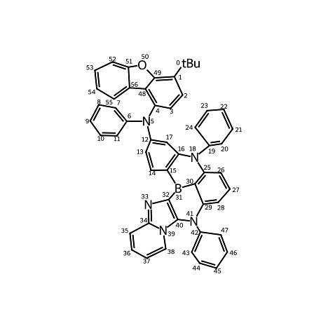 CC(C)(C)c1ccc(N(c2ccccc2)c2ccc3c(c2)N(c2ccccc2)c2cccc4c2B3c2nc3ccccn3c2N4c2ccccc2)c2c1oc1ccccc12